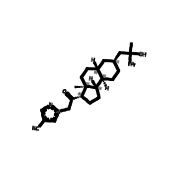 CCCC(C)(O)C[C@H]1CC[C@@H]2[C@H](CC[C@]3(C)[C@@H](C(=O)Cn4cc(C#N)cn4)CC[C@@H]23)C1